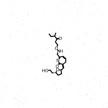 CCC(C)C(=O)CCONCC1=NC(=O)/C(=C\C2CC[C@@H](CCO)O2)CC=C1